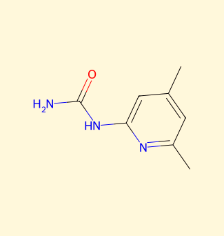 Cc1cc(C)nc(NC(N)=O)c1